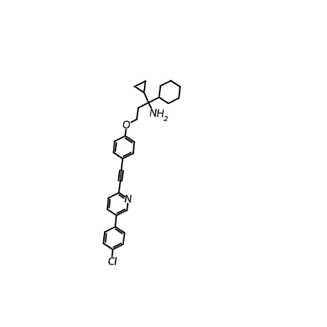 NC(CCOc1ccc(C#Cc2ccc(-c3ccc(Cl)cc3)cn2)cc1)(C1CCCCC1)C1CC1